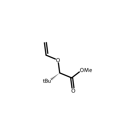 C=CO[C@H](C(=O)OC)C(C)(C)C